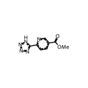 COC(=O)c1ccc(-c2nnn[nH]2)nc1